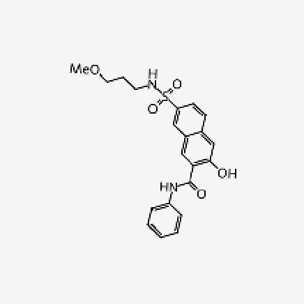 COCCCNS(=O)(=O)c1ccc2cc(O)c(C(=O)Nc3ccccc3)cc2c1